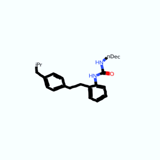 CCCCCCCCCCNC(=O)Nc1ccccc1CCc1ccc(CC(C)C)cc1